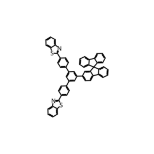 c1ccc2c(c1)-c1ccccc1C21c2ccccc2-c2ccc(-c3cc(-c4ccc(-c5nc6ccccc6s5)cc4)cc(-c4ccc(-c5nc6ccccc6s5)cc4)c3)cc21